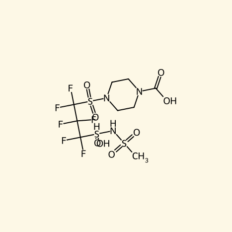 CS(=O)(=O)N[SH](=O)(O)C(F)(F)C(F)(F)C(F)(F)S(=O)(=O)N1CCN(C(=O)O)CC1